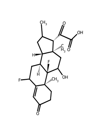 CC1C[C@H]2[C@@H]3CC(F)C4=CC(=O)CC[C@]4(C)[C@@]3(F)C(O)C[C@]2(C)[C@H]1C(=O)C(=O)O